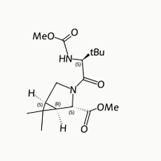 COC(=O)N[C@H](C(=O)N1C[C@H]2[C@@H]([C@H]1C(=O)OC)C2(C)C)C(C)(C)C